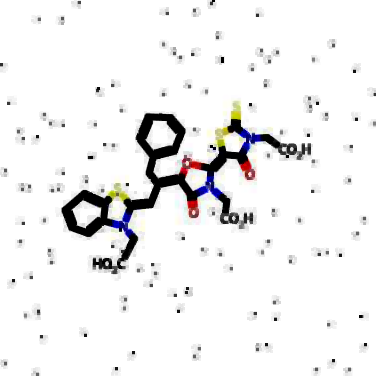 O=C(O)CN1C(=O)/C(=c2/o/c(=C(/C=C3\Sc4ccccc4N3CC(=O)O)Cc3ccccc3)c(=O)n2CC(=O)O)SC1=S